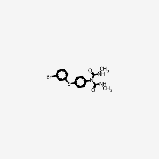 CNC(=O)N(C(=O)NC)c1ccc(Sc2cccc(Br)c2)cc1